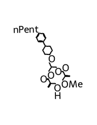 C=C(CO)C(=O)OCC(COC(=O)C(=C)COC)COC1CCC(c2ccc(CCCCC)cc2)CC1